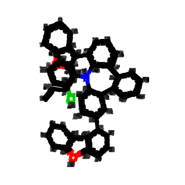 C=C/C=C\c1oc2ccccc2c1-c1cccc2c1N(c1ccccc1Cl)c1ccc(-c3cccc4oc5ccccc5c34)cc1-c1ccccc1-2